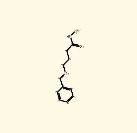 CCCNC(=O)CCCOCc1ccccc1